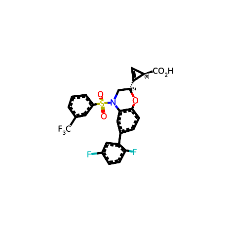 O=C(O)[C@@H]1C=C1[C@H]1CN(S(=O)(=O)c2cccc(C(F)(F)F)c2)c2cc(-c3cc(F)ccc3F)ccc2O1